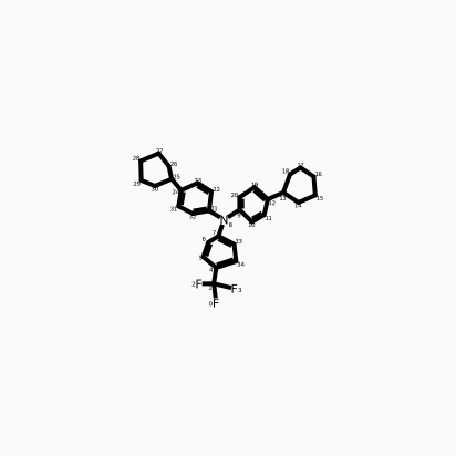 FC(F)(F)c1ccc(N(c2ccc(C3CCCCC3)cc2)c2ccc(C3CCCCC3)cc2)cc1